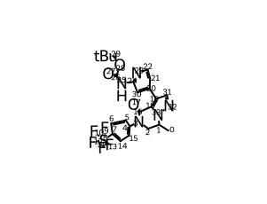 CC1CN(c2ccc(S(F)(F)(F)(F)F)cc2)C(=O)c2c(-c3ccnc(NC(=O)OC(C)(C)C)c3)cnn21